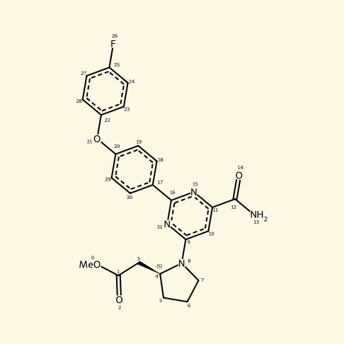 COC(=O)C[C@@H]1CCCN1c1cc(C(N)=O)nc(-c2ccc(Oc3ccc(F)cc3)cc2)n1